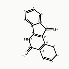 O=C1c2ccccc2-c2[nH]c(=O)c3c(c21)CCC=C3